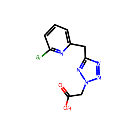 O=C(O)Cn1nnc(Cc2cccc(Br)n2)n1